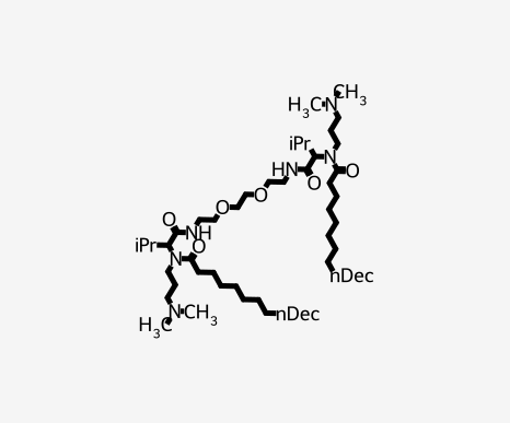 CCCCCCCCCCCCCCCCCC(=O)N(CCCN(C)C)C(C(=O)NCCOCCOCCNC(=O)C(C(C)C)N(CCCN(C)C)C(=O)CCCCCCCCCCCCCCCCC)C(C)C